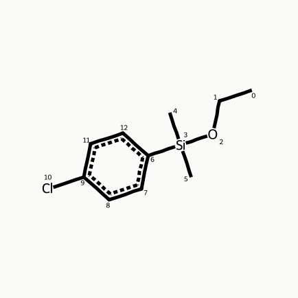 CCO[Si](C)(C)c1ccc(Cl)cc1